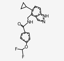 O=C(NCc1c(C2CC2)ccc2[nH]ncc12)c1ccc(OC(F)F)cc1